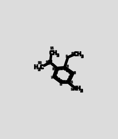 CCc1cc(N)ccc1N(C)C